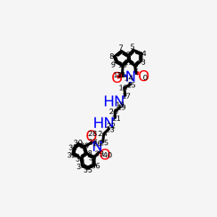 O=C1c2cccc3cccc(c23)C(=O)N1CCCNCCCNCCCN1C(=O)c2cccc3cccc(c23)C1=O